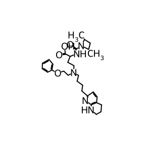 CC1CC(C)N1C(=O)NC(CCN(CCCCc1ccc2c(n1)NCCC2)CCOc1ccccc1)C(=O)O